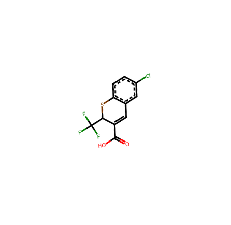 O=C(O)C1=Cc2cc(Cl)ccc2SC1C(F)(F)F